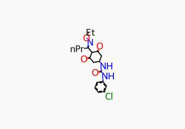 CCC/C(=N\OCC)C1C(=O)CC(NC(=O)Nc2cccc(Cl)c2)CC1=O